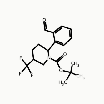 CC(C)(C)OC(=O)N1CC(C(F)(F)F)CCC1c1ccccc1C=O